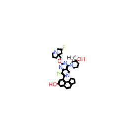 CC1(O)CCCN(c2nc(OCC34CCCN3C[C@H](F)C4)nc3c(F)c(-c4cc(O)cc5ccc6c(c45)CCC6)ncc23)C1